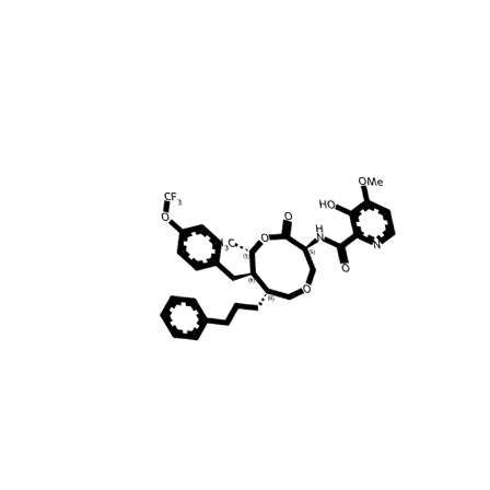 COc1ccnc(C(=O)N[C@H]2COC[C@H](CCCc3ccccc3)[C@@H](Cc3ccc(OC(F)(F)F)cc3)[C@H](C)OC2=O)c1O